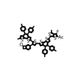 CC(=O)c1sc2c(-c3cc4c(-c5ccc(C)cc5)c(-c5ccc(C)cc5)c5cc(-c6cc(-c7ccc8c(c7)C(=O)C8)c(-c7cc8c(-c9ccc(C)cc9)c(-c9ccc(C)cc9)c9cc(C)sc9c8s7)s6)sc5c4s3)sc(C)c2c1F